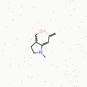 B/C=C1/CCN(C)/C1=C/C=C